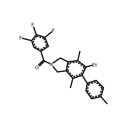 CCc1c(C)c2c(c(C)c1-c1ccc(C)cc1)CN(C(=O)c1cc(F)c(F)c(F)c1)C2